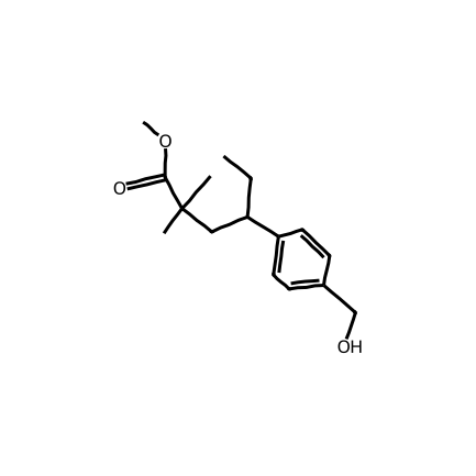 CCC(CC(C)(C)C(=O)OC)c1ccc(CO)cc1